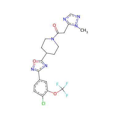 Cn1ncnc1CC(=O)N1CCC(c2nc(-c3ccc(Cl)c(OC(F)(F)F)c3)no2)CC1